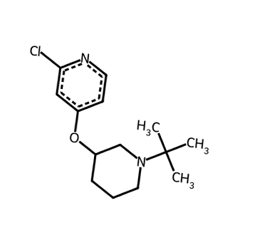 CC(C)(C)N1CCCC(Oc2ccnc(Cl)c2)C1